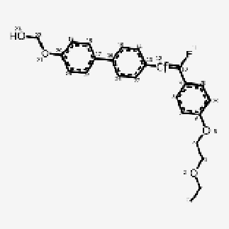 CCOCCOc1ccc([C](F)=[Cf][c]2ccc(-c3ccc(OCO)cc3)cc2)cc1